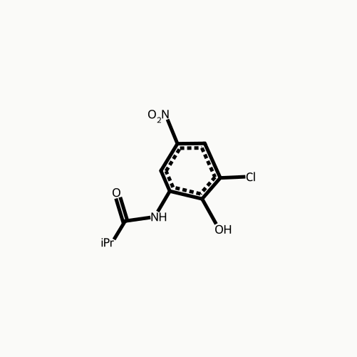 CC(C)C(=O)Nc1cc([N+](=O)[O-])cc(Cl)c1O